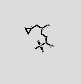 CC(C)N(CCN(C(C)(C)C)S(C)(=O)=O)CC1CC1